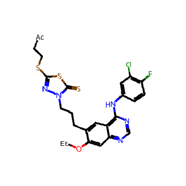 CCOc1cc2ncnc(Nc3ccc(F)c(Cl)c3)c2cc1CCCn1nc(SCCC(C)=O)sc1=S